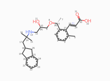 Cc1cccc([C@@H](C)OC[C@H](O)CNC(C)(C)CC2Cc3ccccc3C2)c1/C=C/C(=O)O